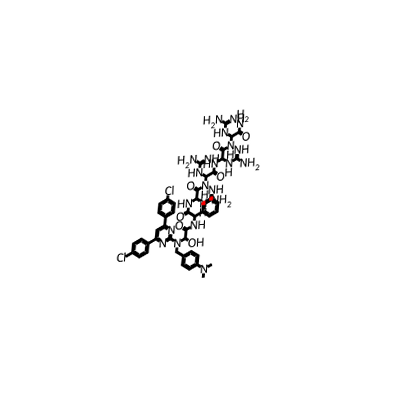 CN(C)c1ccc(CN(c2nc(-c3ccc(Cl)cc3)cc(-c3ccc(Cl)cc3)n2)C(O)C(=O)NC(C(=O)NC(NC(=N)N)C(=O)NC(NC(=N)N)C(=O)NC(NC(=N)N)C(=O)NC(NC(=N)N)C(N)=O)c2ccccc2)cc1